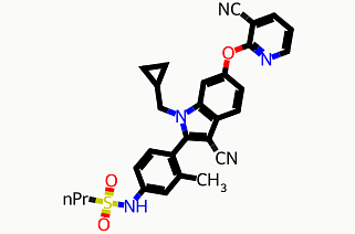 CCCS(=O)(=O)Nc1ccc(-c2c(C#N)c3ccc(Oc4ncccc4C#N)cc3n2CC2CC2)c(C)c1